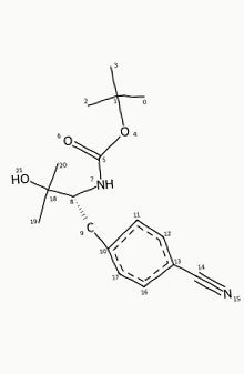 CC(C)(C)OC(=O)N[C@H](Cc1ccc(C#N)cc1)C(C)(C)O